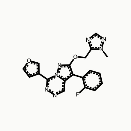 Cn1ncnc1COc1nn2c(-c3ccoc3)nncc2c1-c1ccccc1F